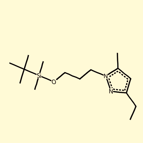 CCc1cc(C)n(CCCO[Si](C)(C)C(C)(C)C)n1